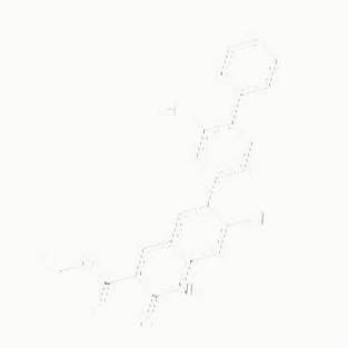 CCOC(=O)c1cc2cc(-c3ccc(-c4ccccc4)c(O)c3)c(Cl)cc2[nH]c1=O